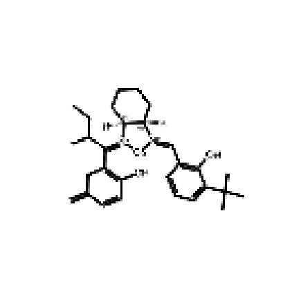 C=C1C=CC(O)=C(C(C(C)CC)=[N+]2[Co][N+](=Cc3cccc(C(C)(C)C)c3O)[C@H]3CCCC[C@@H]32)C1